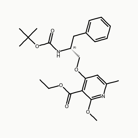 CCOC(=O)c1c(OC[C@@H](Cc2ccccc2)NC(=O)OC(C)(C)C)cc(C)nc1OC